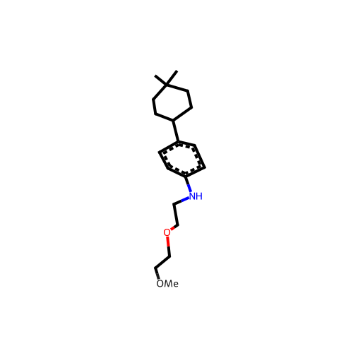 COCCOCCNc1ccc(C2CCC(C)(C)CC2)cc1